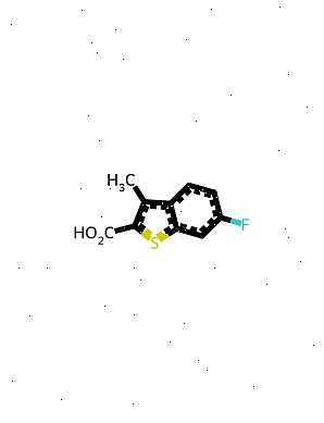 Cc1c(C(=O)O)sc2cc(F)ccc12